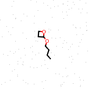 CCCCO[C]1CCO1